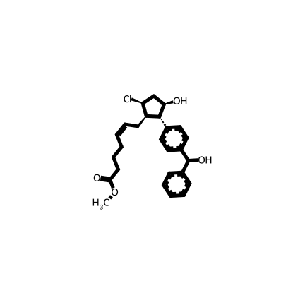 COC(=O)CCC/C=C\C[C@@H]1[C@@H](c2ccc(C(O)c3ccccc3)cc2)[C@H](O)C[C@@H]1Cl